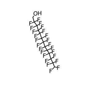 OCC(F)(F)C(F)(F)C(F)(F)C(F)(F)C(F)(F)C(F)(F)C(F)(F)C(F)(F)C(F)(F)C(F)(F)C(F)(F)C(F)F